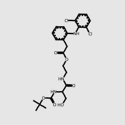 CC(C)(C)OC(=O)NC(CO)C(=O)NCCOC(=O)Cc1ccccc1Nc1c(Cl)cccc1Cl